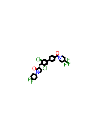 O=C(C1=CCC(c2cc(Cl)c(C[C@@H]3CCN(C4CCC(F)(F)CC4)C3=O)c(Cl)c2)C=C1)N1CCC(C(F)(F)F)CC1